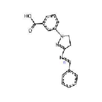 O=C(O)c1cccc(N2CCC(/N=C/c3ccccc3)=N2)c1